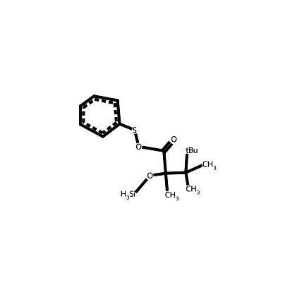 CC(C)(C)C(C)(C)C(C)(O[SiH3])C(=O)OSc1ccccc1